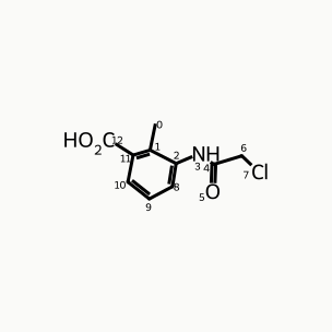 Cc1c(NC(=O)CCl)cccc1C(=O)O